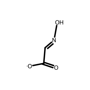 [O]C(=O)C=NO